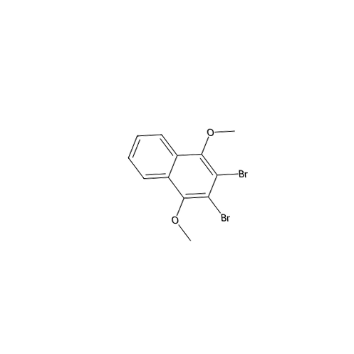 COc1c(Br)c(Br)c(OC)c2ccccc12